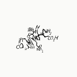 CC[C@H](C)[C@H](NC(=O)[C@@H](N)CCC(=O)O)C(=O)N[C@@H](CCC(N)=O)C(=O)N[C@@H](CC(C)C)C(=O)O